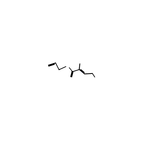 C=CCOC(=O)/C(C)=C/CC